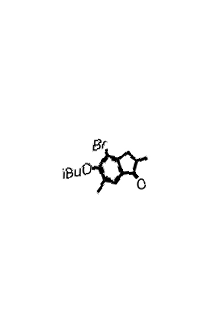 Cc1cc2c(c(Br)c1OCC(C)C)CC(C)C2=O